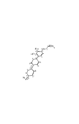 C=CCOc1ccc(C2CCC(C3CCC(C)CC3)CC2)c(F)c1F